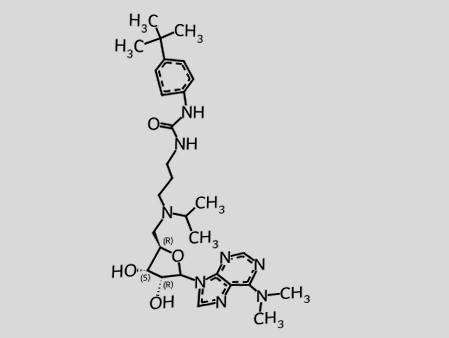 CC(C)N(CCCNC(=O)Nc1ccc(C(C)(C)C)cc1)C[C@H]1OC(n2cnc3c(N(C)C)ncnc32)[C@H](O)[C@@H]1O